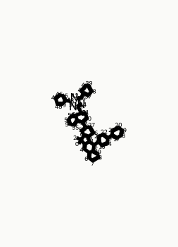 CC1(C)C2=Cc3ccccc3C(c3ccc(-c4ccccc4)cc3)C2c2ccc(-c3ccc(-c4nc(-c5ccccc5)nc(-c5ccccc5)n4)c4ccccc34)cc21